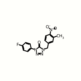 Cc1cc(Cn2nnn(-c3ccc(F)cc3)c2=O)ccc1[N+](=O)[O-]